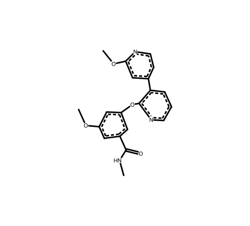 CNC(=O)c1cc(OC)cc(Oc2ncccc2-c2ccnc(OC)c2)c1